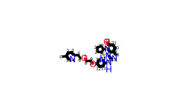 Cc1ccc(CCOCCOc2ccc(Nc3ncc4ccc(=O)n(C5CCCC5)c4n3)nc2)nc1